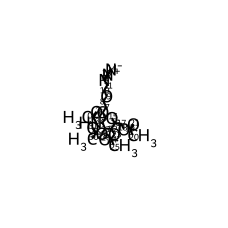 CC(=O)NC1C(OCCOCCN=[N+]=[N-])OC(COC(C)=O)C(OC(C)=O)C1OC(C)=O